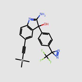 C[Si](C)(C)C#Cc1ccc2c(c1)C(O)(c1ccc(C3(C(F)(F)F)N=N3)cc1)C(N)=N2